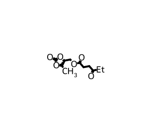 CCC(=O)CCC(=O)OCc1oc(=O)oc1C